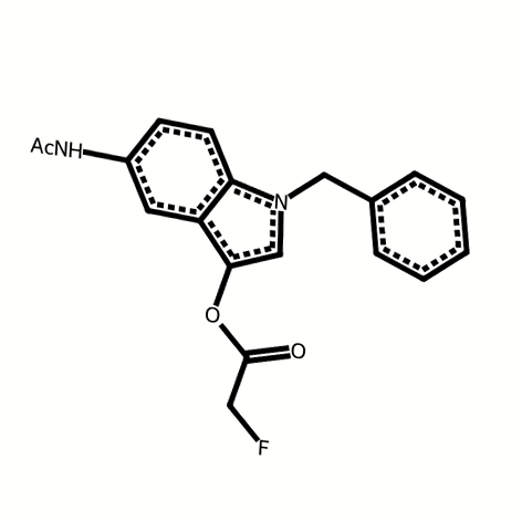 CC(=O)Nc1ccc2c(c1)c(OC(=O)CF)cn2Cc1ccccc1